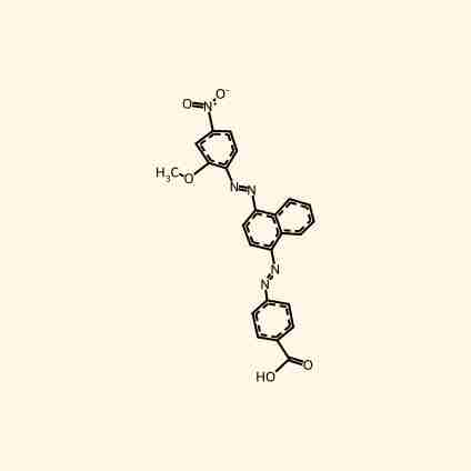 COc1cc([N+](=O)[O-])ccc1N=Nc1ccc(N=Nc2ccc(C(=O)O)cc2)c2ccccc12